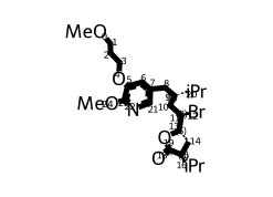 COCCCOc1cc(C[C@@H](C[C@@H](Br)[C@@H]2C[C@@H](C(C)C)C(=O)O2)C(C)C)cnc1OC